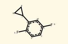 Fc1ccc(F)c(C2[CH]C2)c1